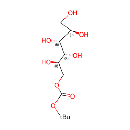 CC(C)(C)OC(=O)OC[C@@H](O)[C@@H](O)[C@H](O)[C@H](O)CO